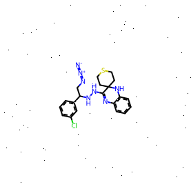 [N-]=[N+]=NCC(NNC1=Nc2ccccc2NC12CCSCC2)c1cccc(Cl)c1